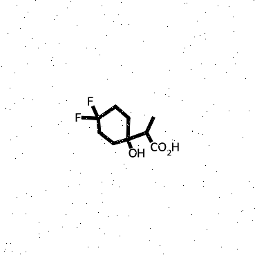 CC(C(=O)O)C1(O)CCC(F)(F)CC1